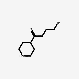 O=C(CCCBr)C1CCNCC1